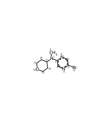 CN(c1cnc(Br)cn1)C1CCOCC1